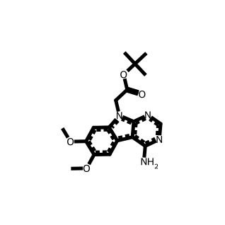 COc1cc2c3c(N)ncnc3n(CC(=O)OC(C)(C)C)c2cc1OC